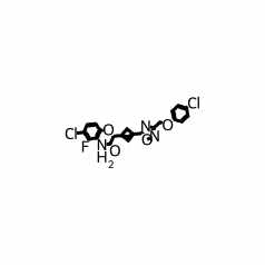 NC(=O)C(Oc1ccc(Cl)c(F)c1)C12CC(c3nc(COc4ccc(Cl)cc4)no3)(C1)C2